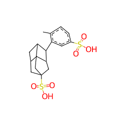 Cc1ccc(S(=O)(=O)O)cc1C1C2CC3CC1CC(S(=O)(=O)O)(C3)C2